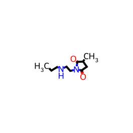 CCCNCCN1C(=O)CC(C)C1=O